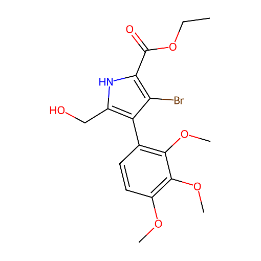 CCOC(=O)c1[nH]c(CO)c(-c2ccc(OC)c(OC)c2OC)c1Br